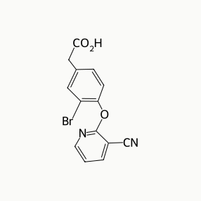 N#Cc1cccnc1Oc1ccc(CC(=O)O)cc1Br